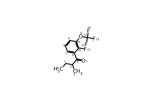 CCC(C)C(=O)c1cccc(OC(F)(F)F)c1F